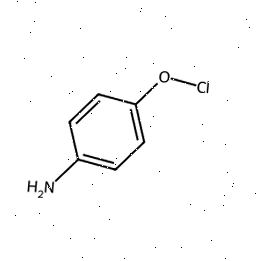 Nc1ccc(OCl)cc1